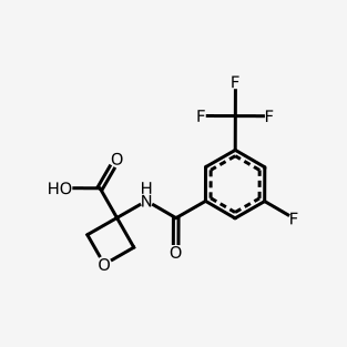 O=C(NC1(C(=O)O)COC1)c1cc(F)cc(C(F)(F)F)c1